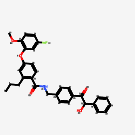 CCCc1cc(Oc2cc(F)ccc2OC)ccc1C(=O)NCc1ccc(C(=O)C(O)c2ccccc2)cc1